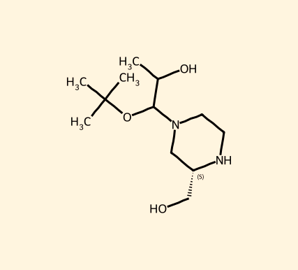 CC(O)C(OC(C)(C)C)N1CCN[C@H](CO)C1